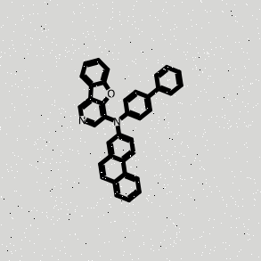 c1ccc(-c2ccc(N(c3ccc4c(ccc5ccccc54)c3)c3cncc4c3oc3ccccc34)cc2)cc1